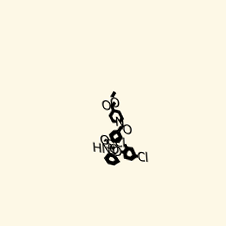 CCOC(=O)C1CCN(C(=O)c2ccc(S(=O)(=O)Nc3ccccc3Oc3ccc(Cl)cc3Cl)cc2)CC1